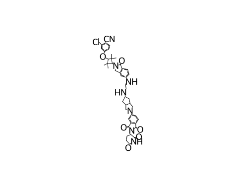 CC1(C)C(Oc2ccc(C#N)c(Cl)c2)C(C)(C)C1N1Cc2cc(NCCNC3CC4CN(c5ccc6c(c5)C(=O)N(C5CCC(=O)NC5=O)C6=O)CC4C3)ccc2C1=O